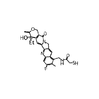 C=C1OCc2c(cc3n(c2=O)Cc2cc4c(CNC(=O)CS)c(C)c(F)cc4nc2-3)[C@@]1(O)CC